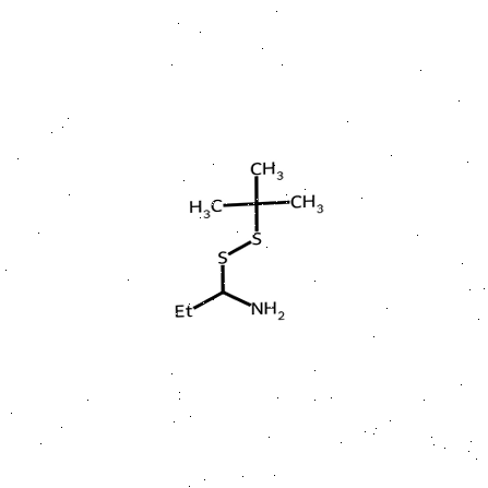 CCC(N)SSC(C)(C)C